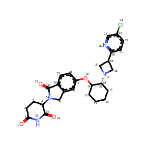 O=C1CCC(N2Cc3cc(OC4CCCC[C@H]4N4CC(c5ccc(Cl)cn5)C4)ccc3C2=O)C(=O)N1